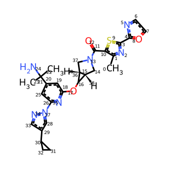 Cc1nc(-c2ncco2)sc1C(=O)N1C[C@@H]2C(Oc3cc(C(C)(C)N)cc(-n4cc(C5CC5)cn4)n3)[C@@H]2C1